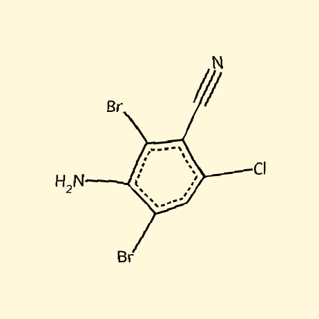 N#Cc1c(Cl)cc(Br)c(N)c1Br